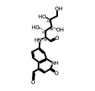 O=Cc1cc(=O)[nH]c2cc(N[C@H](C=O)[C@H](O)[C@@H](O)[C@@H](O)CO)ccc12